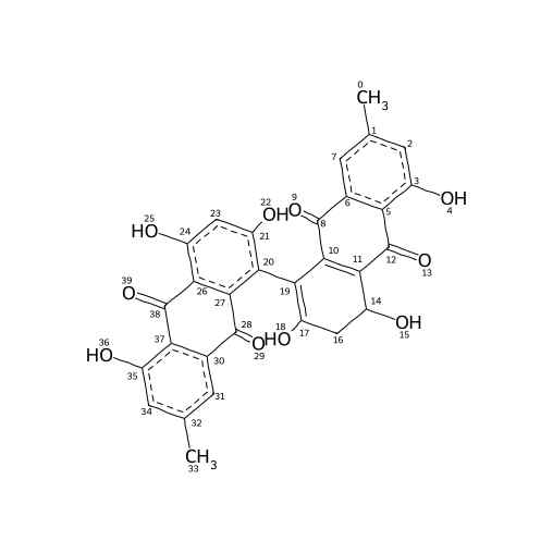 Cc1cc(O)c2c(c1)C(=O)C1=C(C2=O)C(O)CC(O)=C1c1c(O)cc(O)c2c1C(=O)c1cc(C)cc(O)c1C2=O